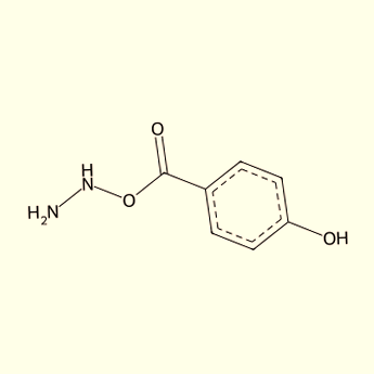 NNOC(=O)c1ccc(O)cc1